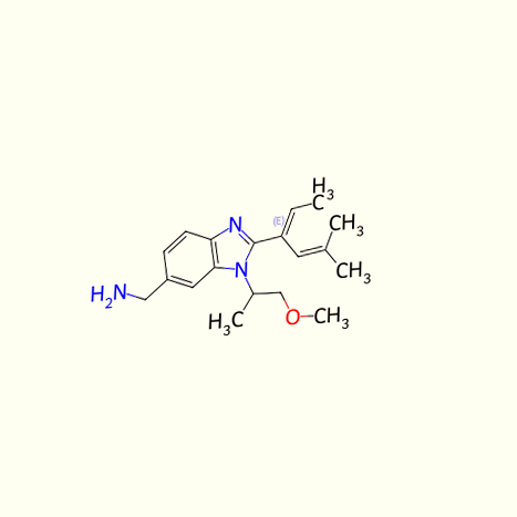 C/C=C(\C=C(C)C)c1nc2ccc(CN)cc2n1C(C)COC